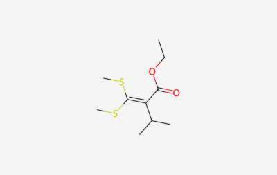 CCOC(=O)C(=C(SC)SC)C(C)C